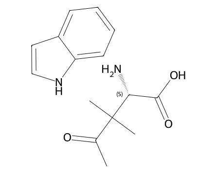 CC(=O)C(C)(C)[C@H](N)C(=O)O.c1ccc2[nH]ccc2c1